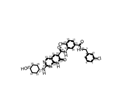 O=C(NCc1cccc(Cl)c1)c1ccc(Cl)c(NC(=O)c2cc3cnc(N[C@H]4CC[C@@H](O)CC4)nc3[nH]c2=O)c1